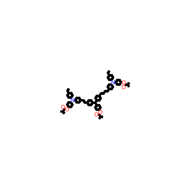 C=Cc1ccc(N(c2ccc(C=CC=Cc3ccc(C(c4ccc(C=Cc5ccc(N(c6ccc(C=C)cc6)c6ccc(OC(=O)C(=C)C)cc6)cc5)cc4)c4ccc(OC(=O)C(=C)C)cc4)cc3)cc2)c2ccc(OC(=O)C(=C)C)cc2)cc1